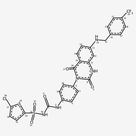 O=C(Nc1ccc(-n2c(=O)[nH]c3cc(NCc4ccc(C(F)(F)F)cc4)ccc3c2=O)cc1)NS(=O)(=O)c1ccc(Cl)s1